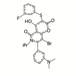 CC(C)n1c(-c2cccc(N(C)C)c2)c(Br)c2oc(=O)c(Sc3cccc(F)c3)c(O)c2c1=O